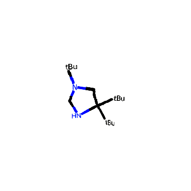 CC(C)(C)N1CNC(C(C)(C)C)(C(C)(C)C)C1